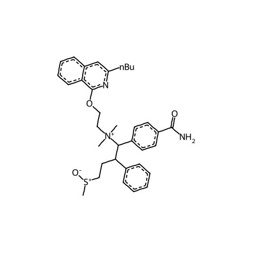 CCCCc1cc2ccccc2c(OCC[N+](C)(C)C(c2ccc(C(N)=O)cc2)C(CC[S+](C)[O-])c2ccccc2)n1